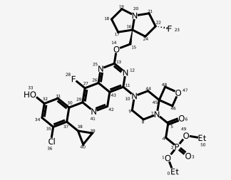 CCOP(=O)(CC(=O)N1CCN(c2nc(OC[C@@]34CCCN3C[C@H](F)C4)nc3c(F)c(-c4cc(O)cc(Cl)c4C4CC4)ncc23)CC12COC2)OCC